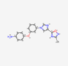 CCc1noc(-c2cn(-c3cccc(Oc4ccc(N)cc4)c3)cn2)n1